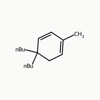 CCCCC1(CCCC)C=CC(C)=CC1